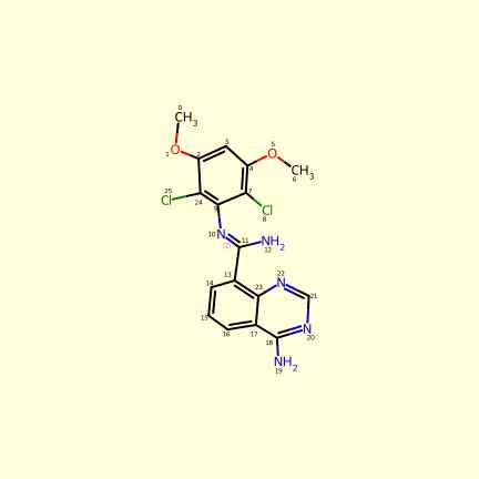 COc1cc(OC)c(Cl)c(/N=C(\N)c2cccc3c(N)ncnc23)c1Cl